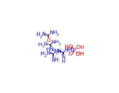 N=C(N)N.N=C(N)N.N=C(N)N.NC(N)=O.O=P(O)(O)O